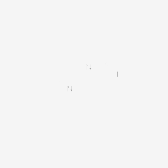 FSc1ccc(N2CCCCC2)cn1